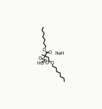 CCCCCCCOC(=O)CC(C)(C(=O)OCCCCCCC)S(=O)(=O)O.[NaH]